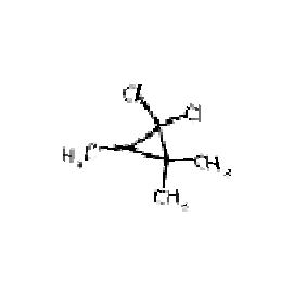 CC1C(C)(C)C1(Cl)Cl